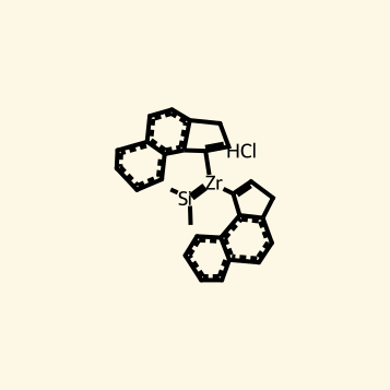 C[Si](C)=[Zr]([C]1=CCc2ccc3ccccc3c21)[C]1=CCc2ccc3ccccc3c21.Cl